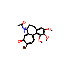 COc1cc2c(c(OC)c1OC)-c1ccc(Br)c(=O)cc1[C@@H](NC(C)=O)CC2